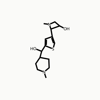 CN1CCC(C(O)c2cc(C3C(O)CN3C)cs2)CC1